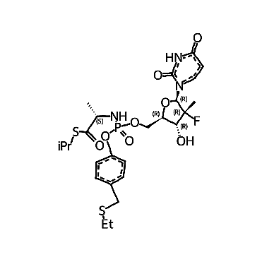 CCSCc1ccc(OP(=O)(N[C@@H](C)C(=O)SC(C)C)OC[C@H]2O[C@@H](n3ccc(=O)[nH]c3=O)[C@](C)(F)[C@@H]2O)cc1